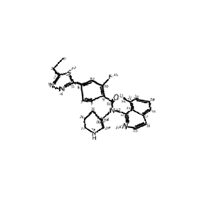 CCc1nnc(-c2ccc(C(=O)N(c3nccc4cccc(C)c34)[C@@H]3CCCNC3)c(F)c2)s1